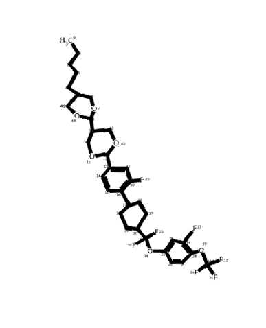 CCCCCC1COC(C2COC(c3ccc(C4CCC(C(F)(F)Oc5ccc(OC(F)(F)F)c(F)c5)CC4)c(F)c3)OC2)OC1